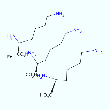 NCCCC[C@H](N)C(=O)O.NCCCC[C@H](N)C(=O)O.NCCCC[C@H](N)C(=O)O.[Fe]